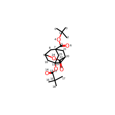 CC(C)(C)OC(=O)C12CC3CC(OC(=O)C(C)(C)C)(CC(C1)C(=O)O3)C2